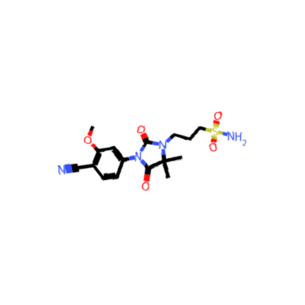 COc1cc(N2C(=O)N(CCCS(N)(=O)=O)C(C)(C)C2=O)ccc1C#N